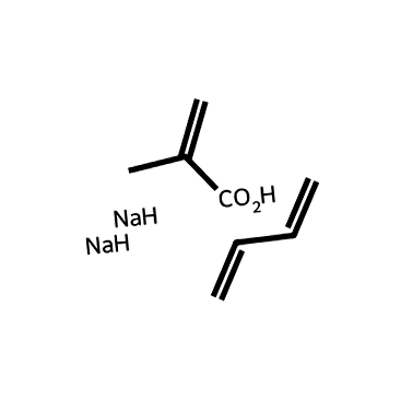 C=C(C)C(=O)O.C=CC=C.[NaH].[NaH]